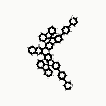 c1cncc(-c2ccc(-c3ccc4c(c3)C3(c5ccccc5-c5ccccc53)c3cc(-c5nc6ccccc6nc5-c5ccc6c(c5)C5(c7ccccc7-c7ccccc75)c5cc(-c7ccc(-c8cccnc8)cc7)ccc5-6)ccc3-4)cc2)c1